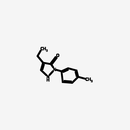 CCc1c[nH]n(-c2ccc(C)cc2)c1=O